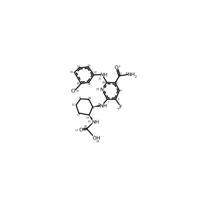 NC(=O)c1cc(F)c(N[C@@H]2CCCC[C@@H]2NC(=O)O)nc1Nc1cccc(Cl)c1